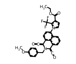 CCOC(=O)c1ccn(-c2ccc3c4c(cccc24)C(=C=O)N(Cc2ccc(OC)cc2)C3=C=O)c1C(F)(F)F